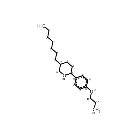 CCCCCCCC1CCC(c2ccc(OCCC)cc2)OC1